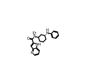 CCN(C(=O)c1cc2ncccc2[nH]1)C1CCC[C@@H](Nc2ccccc2)C1